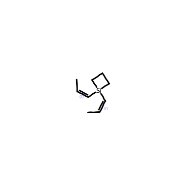 C/C=C\[Si]1(/C=C\C)CCC1